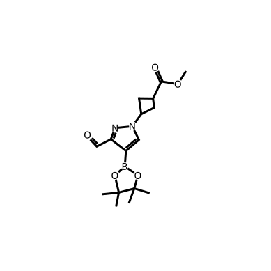 COC(=O)C1CC(n2cc(B3OC(C)(C)C(C)(C)O3)c(C=O)n2)C1